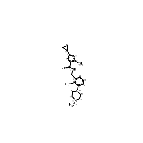 Cc1c(CNC(=O)c2cc(C3CC3)nn2C)cccc1N1CCN(C)CC1